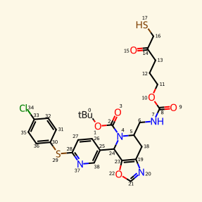 CC(C)(C)OC(=O)N1C(CNC(=O)OCCCC(=O)CS)Cc2ncoc2C1c1ccc(Sc2ccc(Cl)cc2)nc1